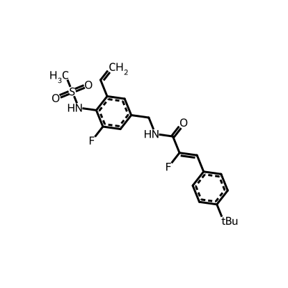 C=Cc1cc(CNC(=O)C(F)=Cc2ccc(C(C)(C)C)cc2)cc(F)c1NS(C)(=O)=O